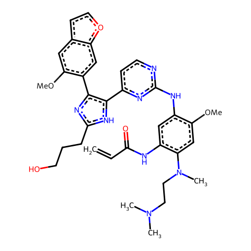 C=CC(=O)Nc1cc(Nc2nccc(-c3[nH]c(CCCO)nc3-c3cc4occc4cc3OC)n2)c(OC)cc1N(C)CCN(C)C